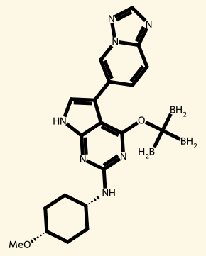 BC(B)(B)Oc1nc(N[C@H]2CC[C@@H](OC)CC2)nc2[nH]cc(-c3ccc4ncnn4c3)c12